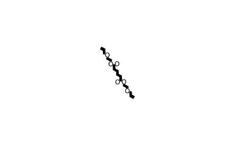 C=CCOCCOC(=O)CCCCC(=O)OCCOCC=C